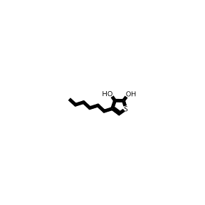 CCCCCCC1=CSC(O)C1O